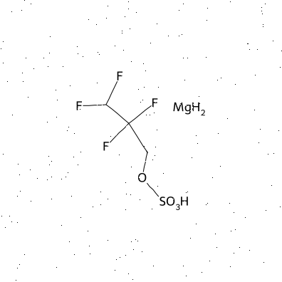 O=S(=O)(O)OCC(F)(F)C(F)F.[MgH2]